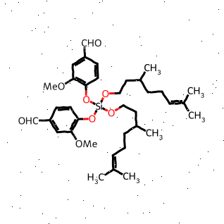 COc1cc(C=O)ccc1O[Si](OCCC(C)CCC=C(C)C)(OCCC(C)CCC=C(C)C)Oc1ccc(C=O)cc1OC